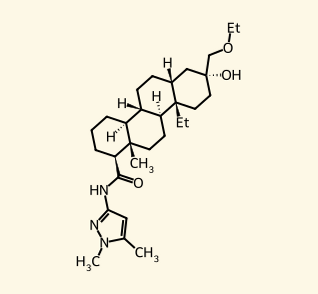 CCOC[C@@]1(O)CC[C@@]2(CC)[C@H](CC[C@H]3[C@@H]4CCC[C@H](C(=O)Nc5cc(C)n(C)n5)[C@@]4(C)CC[C@@H]32)C1